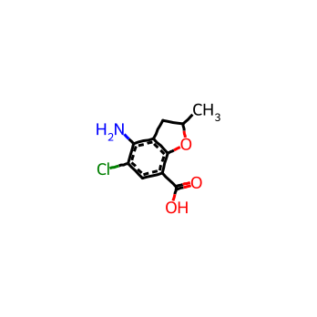 CC1Cc2c(N)c(Cl)cc(C(=O)O)c2O1